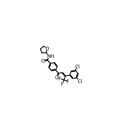 O=C(C=C(c1cc(Cl)cc(Cl)c1)C(F)(F)F)c1ccc(C(=O)NC2CCCO2)cc1